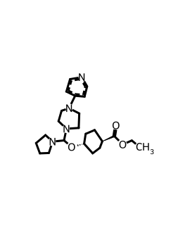 CCOC(=O)[C@H]1CC[C@H](OC(N2CCCC2)N2CCN(c3ccncc3)CC2)CC1